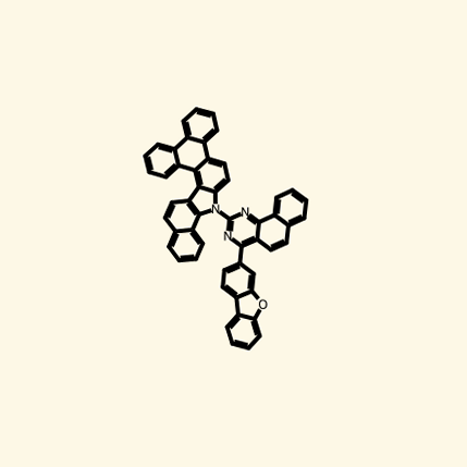 c1ccc2c(c1)ccc1c(-c3ccc4c(c3)oc3ccccc34)nc(-n3c4ccc5c6ccccc6c6ccccc6c5c4c4ccc5ccccc5c43)nc12